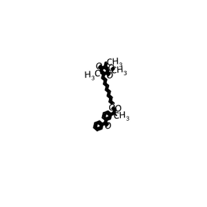 CCC1=C(OC)C(=O)C(CCCCCCCCCCOC(=O)[C@@H](C)c2cccc(C(=O)c3ccccc3)c2)=C(C)C1=O